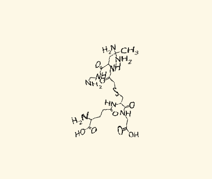 CC(N)(N)CC(NC(=O)CSCC(NC(=O)CCC(N)C(=O)O)C(=O)NCC(=O)O)C(=O)NCN